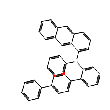 c1ccc(-c2ccc(-c3ccccc3N(c3ccccc3)c3cccc4cc5ccccc5cc34)cc2)cc1